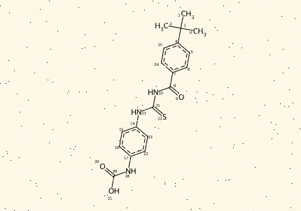 CC(C)(C)c1ccc(C(=O)NC(=S)Nc2ccc(NC(=O)O)cc2)cc1